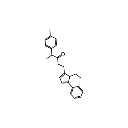 CCC1C(CCC(=O)C(C)c2ccc(C)cc2)=CC=C1c1ccccc1